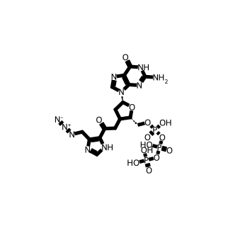 [N-]=[N+]=NCc1nc[nH]c1C(=O)CC1C[C@H](n2cnc3c(=O)[nH]c(N)nc32)O[C@@H]1COP(=O)(O)OP(=O)(O)OP(=O)(O)O